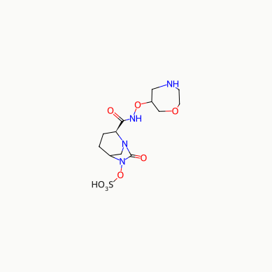 O=C(NOC1CNCCOC1)[C@@H]1CCC2CN1C(=O)N2OS(=O)(=O)O